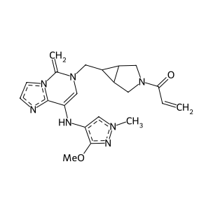 C=CC(=O)N1CC2C(CN3C=C(Nc4cn(C)nc4OC)c4nccn4C3=C)C2C1